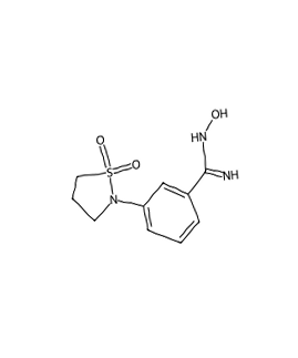 N=C(NO)c1cccc(N2CCCS2(=O)=O)c1